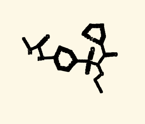 CCON(C(=O)c1ccccc1)S(=O)(=O)c1ccc(NC(=O)NC)cc1